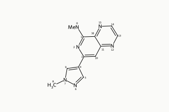 CNc1nc(-c2cnn(C)c2)cc2nccnc12